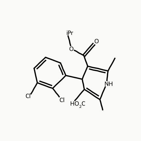 CC1=C(C(=O)O)C(c2cccc(Cl)c2Cl)C(C(=O)OC(C)C)=C(C)N1